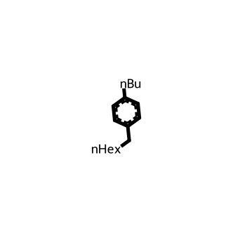 [CH2]CCCCCCc1ccc(CCCC)cc1